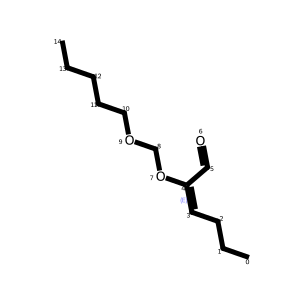 CCC/C=C(\C=O)OCOCCCCC